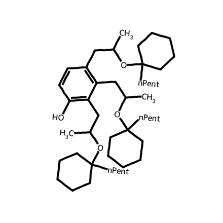 CCCCCC1(OC(C)Cc2ccc(O)c(CC(C)OC3(CCCCC)CCCCC3)c2CC(C)OC2(CCCCC)CCCCC2)CCCCC1